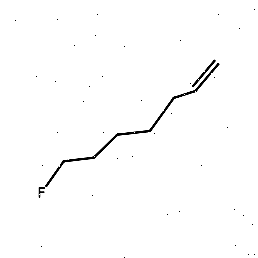 C=CCCCCCF